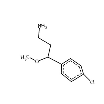 COC(CCN)c1ccc(Cl)cc1